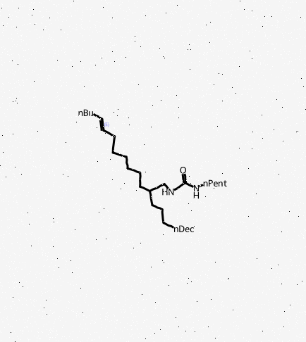 CCCC/C=C/CCCCCCC(CCCCCCCCCCCCC)CNC(=O)NCCCCC